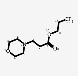 O=C(CCN1CCOCC1)OCCC(F)(F)F